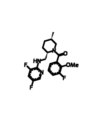 COc1c(F)cccc1C(=O)N1C[C@@H](C)CC[C@H]1CNc1ncc(F)cc1F